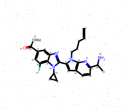 C=CCCCn1c(-c2nc3cc(C(=O)OC)cc(F)c3n2C2CC2)cc2ccc(C(C)N)nc21